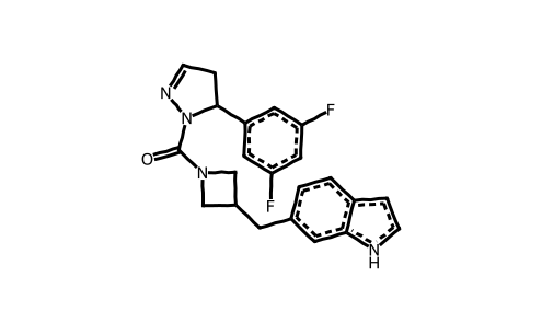 O=C(N1CC(Cc2ccc3cc[nH]c3c2)C1)N1N=CCC1c1cc(F)cc(F)c1